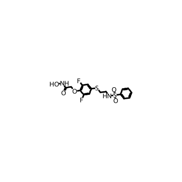 O=C(COc1c(F)cc(SCCNS(=O)(=O)c2ccccc2)cc1F)NO